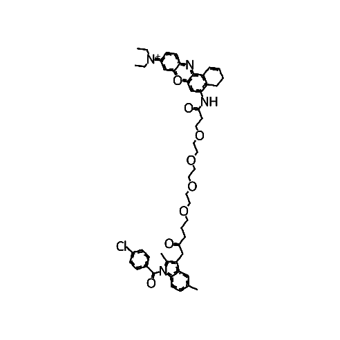 CC[N+](CC)=c1ccc2nc3c4c(c(NC(=O)CCOCCOCCOCCOCCCC(=O)Cc5c(C)n(C(=O)c6ccc(Cl)cc6)c6ccc(C)cc56)cc3oc-2c1)CCC=C4